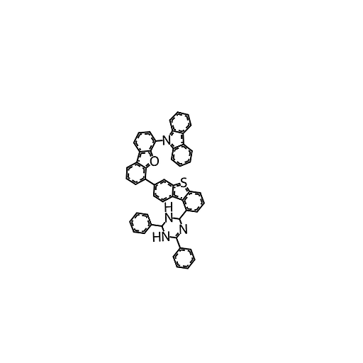 c1ccc(C2=NC(c3cccc4sc5cc(-c6cccc7c6oc6c(-n8c9ccccc9c9ccccc98)cccc67)ccc5c34)NC(c3ccccc3)N2)cc1